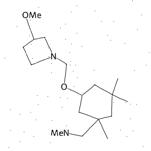 CNCC1(C)CC(OCN2CCC(OC)C2)CC(C)(C)C1